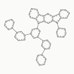 c1ccc(-c2cccc(-c3cc(-c4cccc(-c5ccccc5)c4)cc(-n4c5ccccc5c5cc6c7ccccc7n(-c7ccccc7)c6cc54)c3)c2)cc1